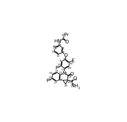 CC(C)C(=O)Nc1cc(Oc2cc(F)c(N(C(=O)C3(C(N)=O)CC3)c3ccc(F)cc3)cc2F)ccn1